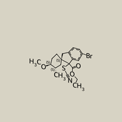 CCOC(=O)C1(SC#N)c2cc(Br)ccc2C[C@@]12CC[C@H](OC)[C@@H](C)C2